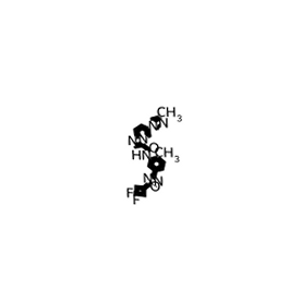 Cc1cn(-c2ccc3ncc(C(=O)Nc4cc(-c5noc(C6CC(F)(F)C6)n5)ccc4C)n3c2)cn1